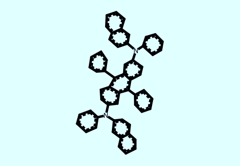 c1ccc(-c2c3ccc(N(c4ccccc4)c4ccc5ccccc5c4)cc3c(-c3ccccc3)c3ccc(N(c4ccccc4)c4ccc5ccccc5c4)cc23)cc1